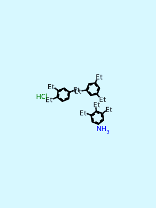 CCc1cc(CC)cc(CC)c1.CCc1ccc(CC)c(CC)c1.CCc1cccc(CC)c1CC.Cl.N